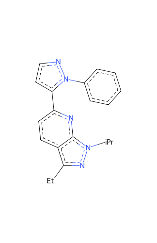 CCc1nn(C(C)C)c2nc(-c3ccnn3-c3ccccc3)ccc12